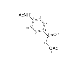 CC(=O)Nc1ccc(C(=O)COC(C)=O)cn1